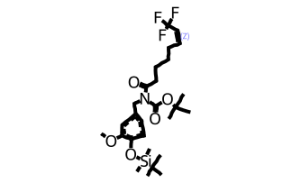 COc1cc(CN(C(=O)CCCC/C=C\C(F)(F)F)C(=O)OC(C)(C)C)ccc1O[Si](C)(C)C(C)(C)C